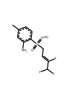 Cc1ccc(S(=O)(=O)C/C=C(\F)C(F)F)c(N)c1.Cl